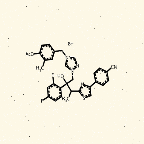 CC(=O)Oc1ccc(C[n+]2cnn(CC(O)(c3ccc(F)cc3F)C(C)c3nc(-c4ccc(C#N)cc4)cs3)c2)cc1C.[Br-]